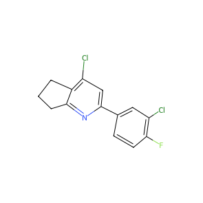 Fc1ccc(-c2cc(Cl)c3c(n2)CCC3)cc1Cl